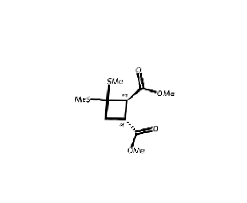 COC(=O)[C@@H]1CC(SC)(SC)[C@H]1C(=O)OC